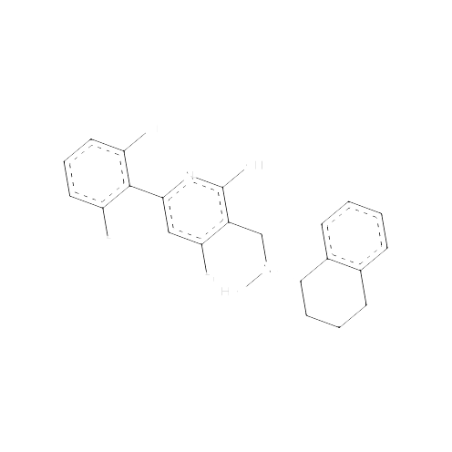 CCc1cc(-c2c(CC)cccc2CC)nc(C)c1CN(C)[C@H]1CCCc2ccccc21